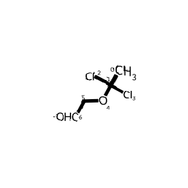 CC(Cl)(Cl)OC[C]=O